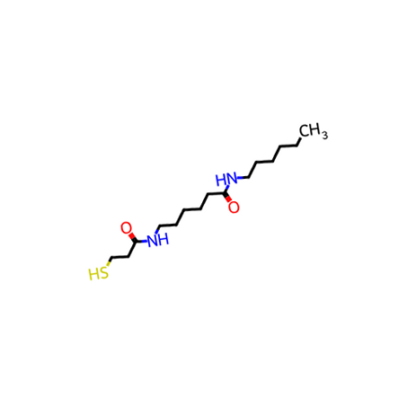 CCCCCCNC(=O)CCCCCNC(=O)CCS